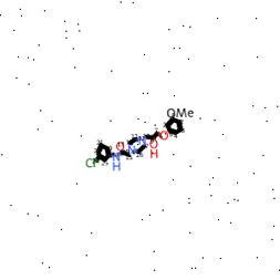 COc1cccc(OCC(O)CN2CCN(CC(=O)Nc3cccc(Cl)c3)CC2)c1